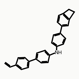 C=Cc1ccc(-c2ccc(Nc3ccc(-c4ccc5c(c4)CC5)cc3)cc2)cc1